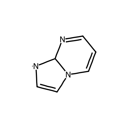 C1=CN2C=C[N]C2N=C1